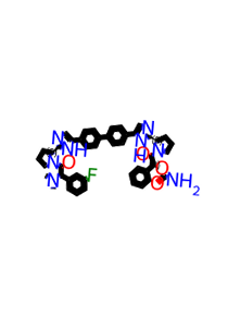 CN(C)C(C(=O)N1CCC[C@H]1c1ncc(-c2ccc(-c3ccc(-c4cnc([C@@H]5CCCN5C(=O)[C@H](OC(N)=O)c5ccccc5)[nH]4)cc3)cc2)[nH]1)c1cccc(F)c1